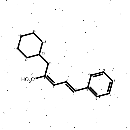 O=C(O)C(=CC=Cc1ccccc1)CC1CCCCC1